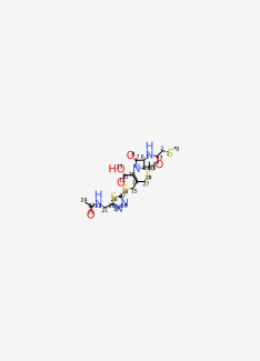 CSCC(=O)NC1C(=O)N2C(C(=O)O)=C(CSc3nnc(CNC(C)=O)s3)CS[C@H]12